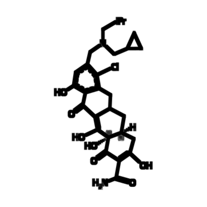 CC(C)CN(Cc1cc(O)c2c(c1Cl)CC1C[C@H]3CC(O)=C(C(N)=O)C(=O)[C@@]3(O)C(O)=C1C2=O)CC1CC1